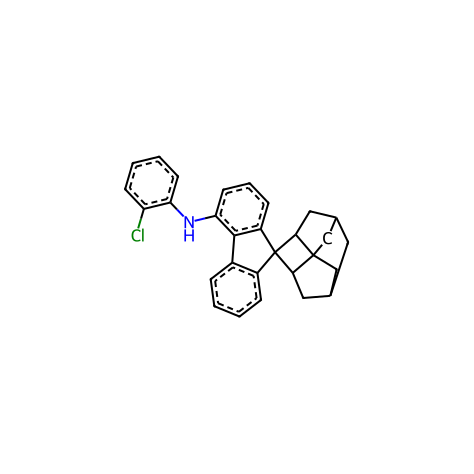 Clc1ccccc1Nc1cccc2c1-c1ccccc1C21C2CC3CC4CC1C2(C3)C4